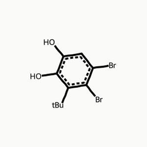 CC(C)(C)c1c(O)c(O)cc(Br)c1Br